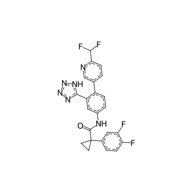 O=C(Nc1ccc(-c2ccc(C(F)F)nc2)c(-c2nnn[nH]2)c1)C1(c2ccc(F)c(F)c2)CC1